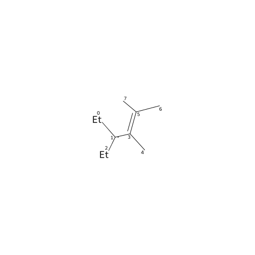 CC[C](CC)C(C)=C(C)C